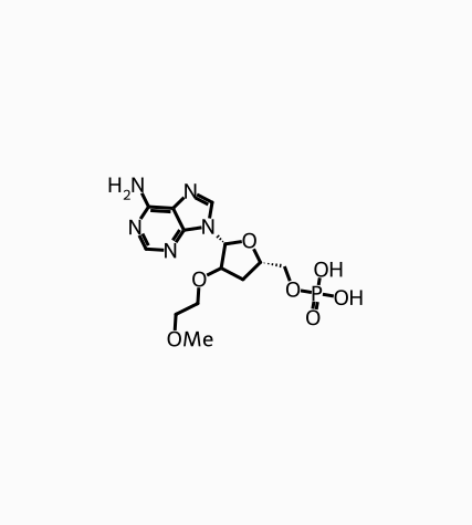 COCCOC1C[C@@H](COP(=O)(O)O)O[C@H]1n1cnc2c(N)ncnc21